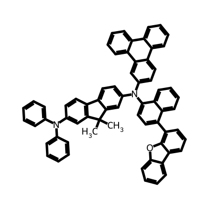 CC1(C)c2cc(N(c3ccccc3)c3ccccc3)ccc2-c2ccc(N(c3ccc4c5ccccc5c5ccccc5c4c3)c3ccc(-c4cccc5c4oc4ccccc45)c4ccccc34)cc21